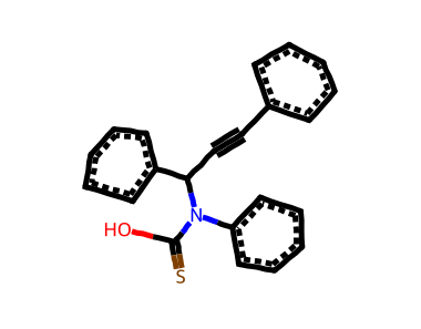 OC(=S)N(c1ccccc1)C(C#Cc1ccccc1)c1ccccc1